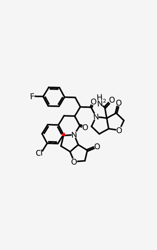 NC(=O)C12C(=O)COC1CCN2C(=O)C(Cc1ccc(F)cc1)[C](Cc1ccc(Cl)cc1)C(=O)N1CCC2OCC(=O)C21